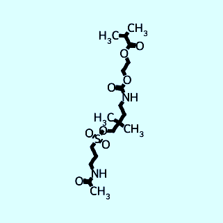 CC(=O)NCCCS(=O)(=O)OCC(C)(C)CCNC(=O)OCCOC(=O)C(C)C